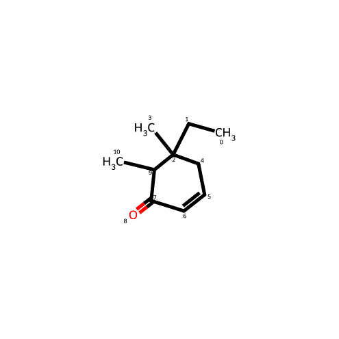 CCC1(C)CC=CC(=O)C1C